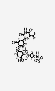 CS(=O)(=O)NC1CN(S(=O)(=O)c2cc(Oc3c(Cl)cc(-n4nc(C(F)F)c(=O)[nH]c4=O)cc3Cl)ccc2O)C1